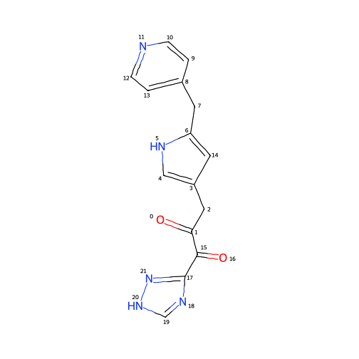 O=C(Cc1c[nH]c(Cc2ccncc2)c1)C(=O)c1nc[nH]n1